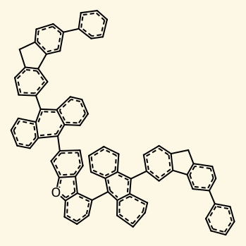 c1ccc(-c2ccc3c(c2)-c2cc(-c4c5ccccc5c(-c5ccc6c(c5)oc5cccc(-c7c8ccccc8c(-c8ccc9c(c8)-c8cc(-c%10ccccc%10)ccc8C9)c8ccccc78)c56)c5ccccc45)ccc2C3)cc1